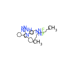 CCCCc1nc(C(F)(F)CCCC)nn1Cc1ccc(-n2c(C3CCCCC3)cc(C3CCCCC3)c2-c2nnn[nH]2)cc1